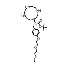 CCOCCOCCOc1ccc(C[C@@H](C(=O)OC(C)(C)C)N2CCNCCNCCNCC2)cc1